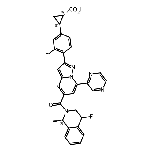 C[C@@H]1c2ccccc2C(F)CN1C(=O)c1cc(-c2cnccn2)n2nc(-c3ccc([C@H]4C[C@@H]4C(=O)O)cc3F)cc2n1